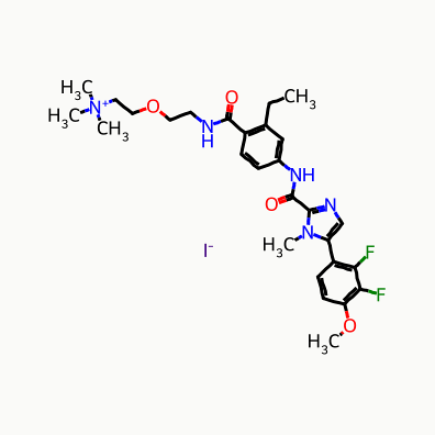 CCc1cc(NC(=O)c2ncc(-c3ccc(OC)c(F)c3F)n2C)ccc1C(=O)NCCOCC[N+](C)(C)C.[I-]